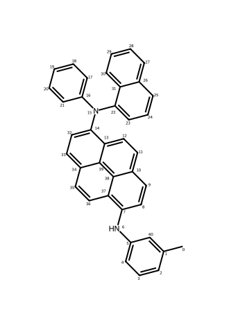 Cc1cccc(Nc2ccc3ccc4c(N(c5ccccc5)c5cccc6ccccc56)ccc5ccc2c3c54)c1